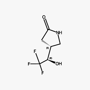 O=C1C[C@@H]([C@@H](O)C(F)(F)F)CN1